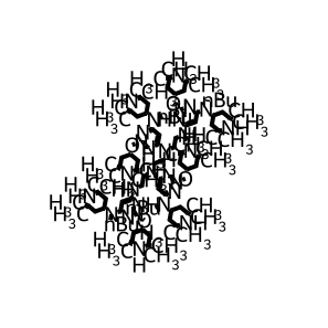 CCCCN(C1=NN(OC2CC(C)(C)NC(C)(C)C2)NC(NCCN(CCN(CCNC2=CC(N(CCCC)C3CC(C)(C)NC(C)(C)C3)=NN(OC3CC(C)(C)NC(C)(C)C3)N2)C2=CC(N(CCCC)C3CC(C)(C)NC(C)(C)C3)=NN(OC3CC(C)(C)NC(C)(C)C3)N2)C2=CC(N(CCCC)C3CC(C)(C)NC(C)(C)C3)=NN(OC3CC(C)(C)NC(C)(C)C3)N2)=C1)C1CC(C)(C)NC(C)(C)C1